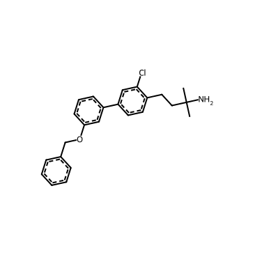 CC(C)(N)CCc1ccc(-c2cccc(OCc3ccccc3)c2)cc1Cl